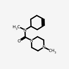 CN1CCN(C(=O)N(C)C2CC#CCC2)CC1